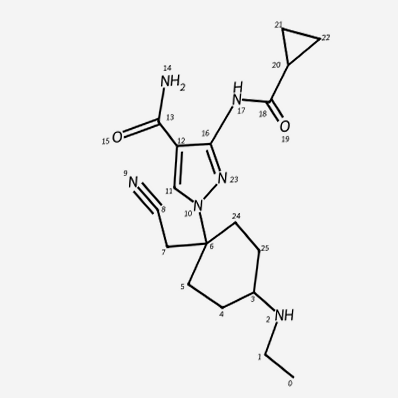 CCNC1CCC(CC#N)(n2cc(C(N)=O)c(NC(=O)C3CC3)n2)CC1